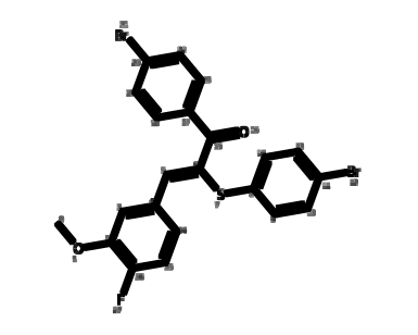 COc1cc(C=C(Sc2ccc(Br)cc2)C(=O)c2ccc(Br)cc2)ccc1F